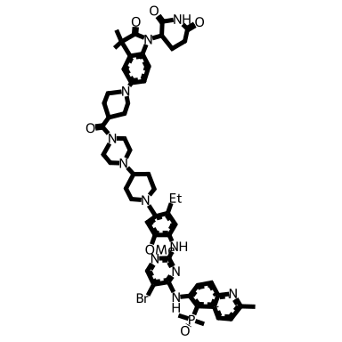 CCc1cc(Nc2ncc(Br)c(Nc3ccc4nc(C)ccc4c3P(C)(C)=O)n2)c(OC)cc1N1CCC(N2CCN(C(=O)C3CCN(c4ccc5c(c4)C(C)(C)C(=O)N5C4CCC(=O)NC4=O)CC3)CC2)CC1